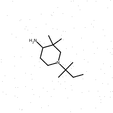 CCC(C)(C)N1CCC(N)C(C)(C)C1